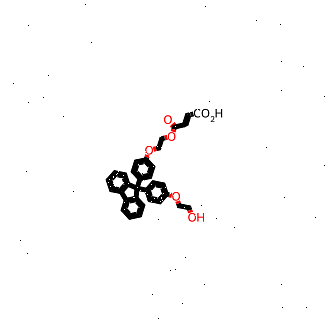 O=C(O)C=CC(=O)OCCOc1ccc(C2(c3ccc(OCCO)cc3)c3ccccc3-c3ccccc32)cc1